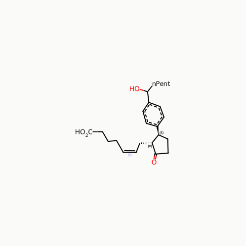 CCCCCC(O)c1ccc([C@H]2CCC(=O)[C@@H]2C/C=C\CCCC(=O)O)cc1